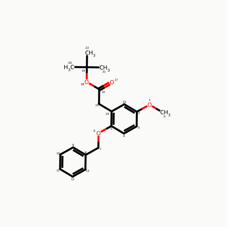 COc1ccc(OCc2ccccc2)c(CC(=O)OC(C)(C)C)c1